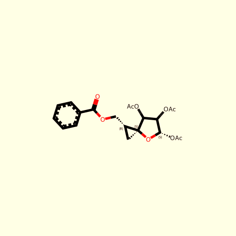 CC(=O)OC1C(OC(C)=O)[C@@]2(C[C@@H]2COC(=O)c2ccccc2)O[C@H]1OC(C)=O